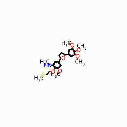 CNc1cc(C2CCC(c3cc(OC)c(OC)c(OC)c3)O2)cc(OC)c1OCCSC